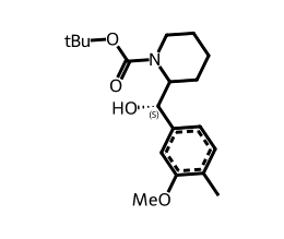 COc1cc([C@H](O)C2CCCCN2C(=O)OC(C)(C)C)ccc1C